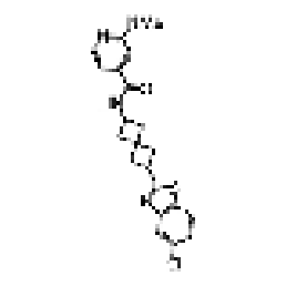 CNc1cc(C(=O)NC2CC3(C2)CC(c2nc4cc(Cl)ccc4s2)C3)ccn1